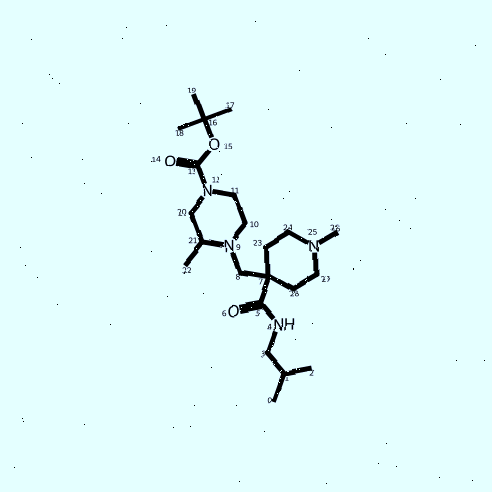 CC(C)CNC(=O)C1(CN2CCN(C(=O)OC(C)(C)C)CC2C)CCN(C)CC1